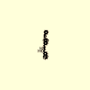 CC1(C)OCc2cc([C@@H](O)CNCCc3ccc4c(c3)O[C@H](COCc3ccccc3)CO4)ccc2O1